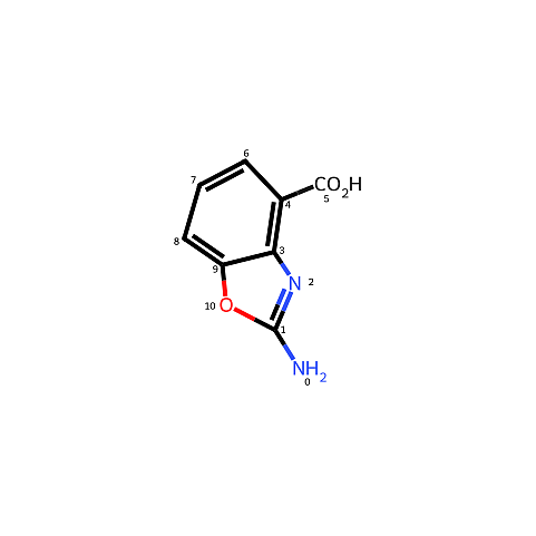 Nc1nc2c(C(=O)O)cccc2o1